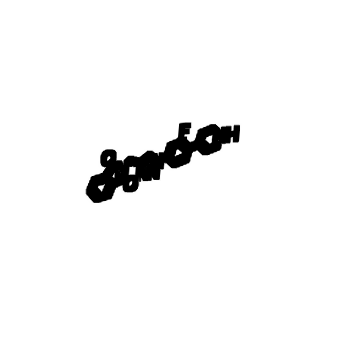 O=C1c2ccccc2C(=O)N1Cc1cn(-c2ccc(C3=CCNCC3)c(F)c2)nn1